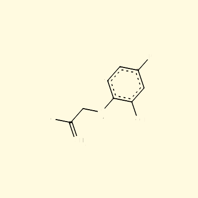 C=C(C)COc1ccc(Br)cc1O